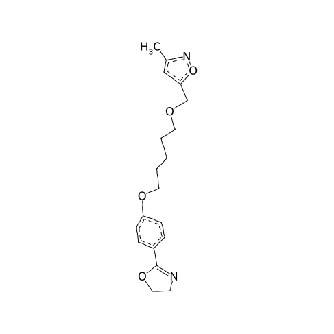 Cc1cc(COCCCCCOc2ccc(C3=NCCO3)cc2)on1